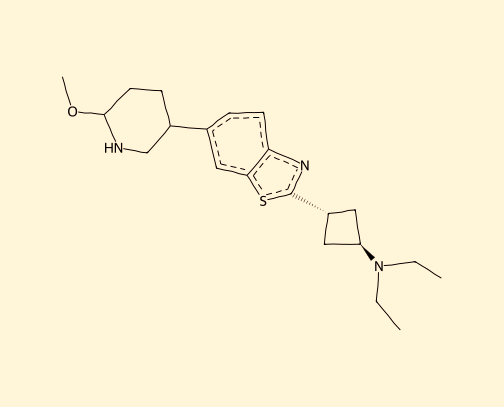 CCN(CC)[C@H]1C[C@H](c2nc3ccc(C4CCC(OC)NC4)cc3s2)C1